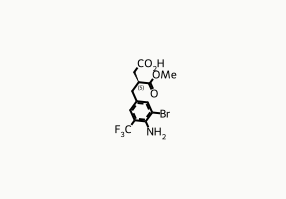 COC(=O)[C@H](CC(=O)O)Cc1cc(Br)c(N)c(C(F)(F)F)c1